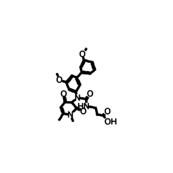 COc1cccc(-c2cc(OC)cc(N(C(=O)NCCC(=O)O)C3C(=O)C=C(C)N(C)C3=O)c2)c1